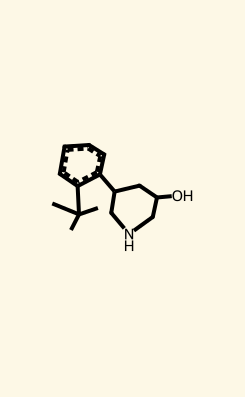 CC(C)(C)c1ccccc1C1CNCC(O)C1